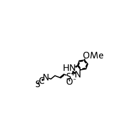 COc1ccc2nc([S+]([O-])/C=C/CCN=C=S)[nH]c2c1